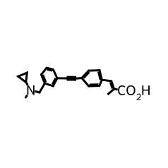 CC(=Cc1ccc(C#Cc2cccc(CN(C)C3CC3)c2)cc1)C(=O)O